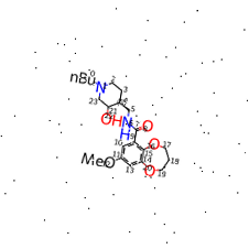 CCCCN1CC[C@@H](CNC(=O)c2cc(OC)cc3c2OCCCO3)C(O)C1